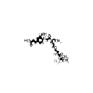 CCN(OCCOCCNC(=O)OC(C)(C)C)C(=O)COc1ccc(C=CC(=O)O)cc1OC